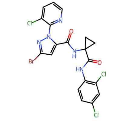 O=C(NC1(C(=O)Nc2ccc(Cl)cc2Cl)CC1)c1cc(Br)nn1-c1ncccc1Cl